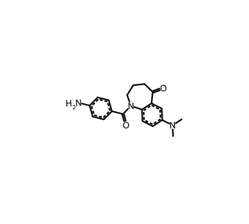 CN(C)c1ccc2c(c1)C(=O)CCCN2C(=O)c1ccc(N)cc1